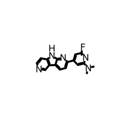 CN(C)c1cc(-c2ccc3c(n2)[nH]c2ccncc23)cc(F)n1